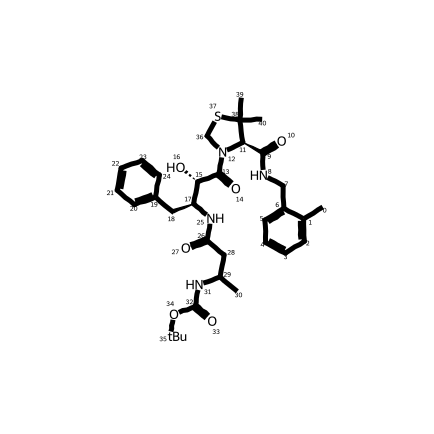 Cc1ccccc1CNC(=O)[C@H]1N(C(=O)[C@@H](O)[C@H](Cc2ccccc2)NC(=O)CC(C)NC(=O)OC(C)(C)C)CSC1(C)C